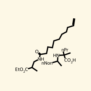 C=CCCCCCCCCC(=O)NCC(C)C(=O)OCC.CCCCCCCCCC(C)NC(C)(CCC)C(=O)O